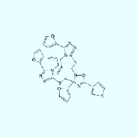 C=CCn1c(SCN2OC(c3ccsc3)=NC2(CSc2nnc(-c3ccco3)n2CC=C)c2ccco2)nnc1-c1ccco1